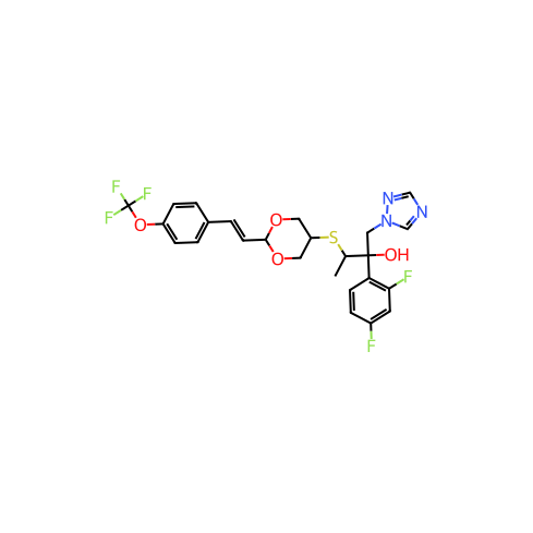 CC(SC1COC(C=Cc2ccc(OC(F)(F)F)cc2)OC1)C(O)(Cn1cncn1)c1ccc(F)cc1F